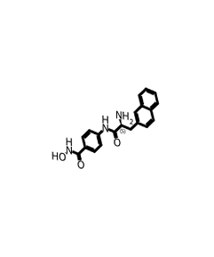 N[C@@H](Cc1ccc2ccccc2c1)C(=O)Nc1ccc(C(=O)NO)cc1